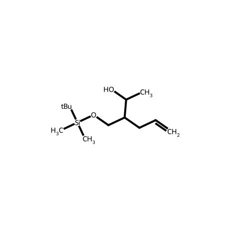 C=CCC(CO[Si](C)(C)C(C)(C)C)C(C)O